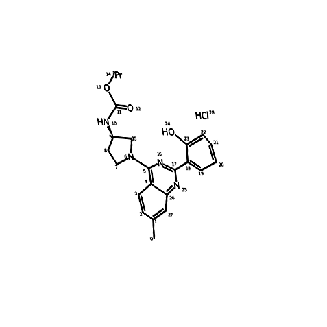 Cc1ccc2c(N3CC[C@@H](NC(=O)OC(C)C)C3)nc(-c3ccccc3O)nc2c1.Cl